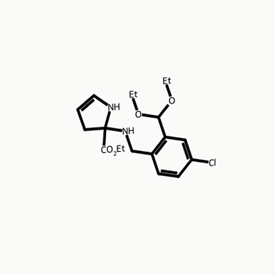 CCOC(=O)C1(NCc2ccc(Cl)cc2C(OCC)OCC)CC=CN1